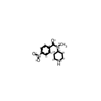 CN(C(=O)c1ccc([N+](=O)[O-])cc1)C1CCNCC1